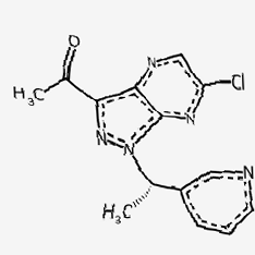 CC(=O)c1nn([C@@H](C)c2cccnc2)c2nc(Cl)cnc12